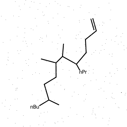 C=CCCC(CCC)C(C)C(C)CCC(C)CCCC